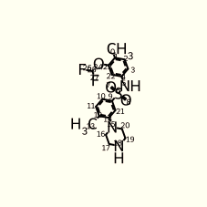 Cc1ccc(NS(=O)(=O)c2ccc(C)c(N3CCNCC3)c2)cc1OC(F)F